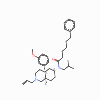 C=CCN1CC[C@@]2(c3cccc(OC)c3)C[C@H](N(CC(C)C)C(=O)CCCCCc3ccccc3)CC[C@@H]2C1